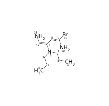 CCCN(CCC)C(/C=C(\N)Br)=C/N